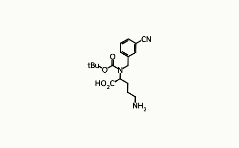 CC(C)(C)OC(=O)N(Cc1cccc(C#N)c1)[C@@H](CCCN)C(=O)O